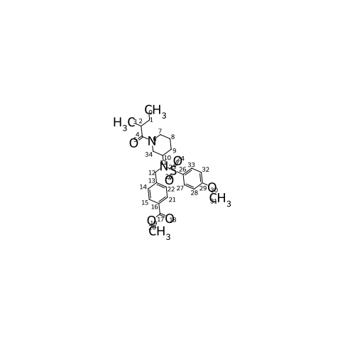 CCC(C)C(=O)N1CCCC(N(Cc2ccc(C(=O)OC)cc2)S(=O)(=O)c2ccc(OC)cc2)C1